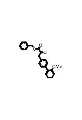 COC1=CCCC=C1c1ccc(CC(=O)C(=O)OCc2ccccc2)cc1